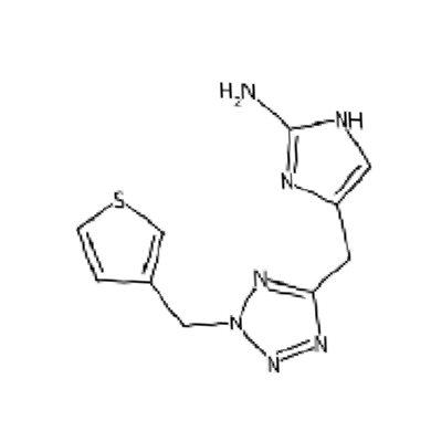 Nc1nc(Cc2nnn(Cc3ccsc3)n2)c[nH]1